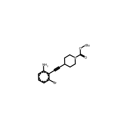 CC(C)(C)OC(=O)N1CCC(C#Cc2c(N)cccc2Br)CC1